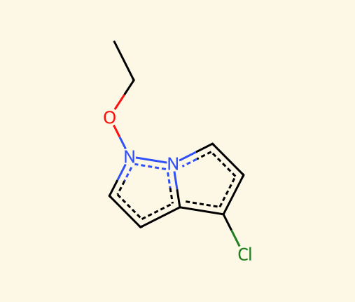 CCOn1ccc2c(Cl)ccn21